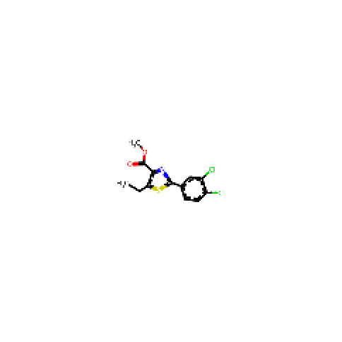 CCc1sc(-c2ccc(Cl)c(Cl)c2)nc1C(=O)OC